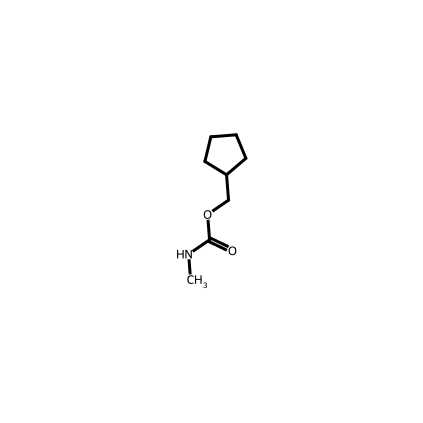 CNC(=O)OCC1CCCC1